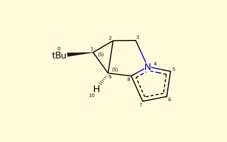 CC(C)(C)[C@H]1C2Cn3cccc3[C@H]21